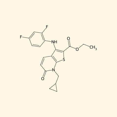 CCOC(=O)c1sc2c(ccc(=O)n2CC2CC2)c1Nc1ccc(F)cc1F